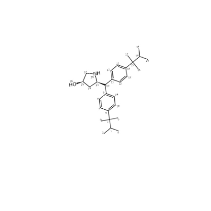 CC(C)C(C)(C)c1ccc(C(c2ccc(C(C)(C)C(C)C)cc2)[C@H]2C[C@@H](O)CN2)cc1